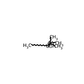 CCCCCCCCCCCCOP(O)[O][Sn]([CH2]CCC)([CH2]CCC)[CH2]CCC